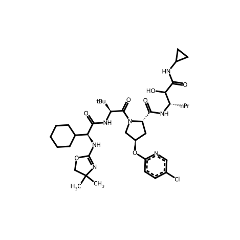 CCC[C@H](NC(=O)[C@@H]1C[C@@H](Oc2ccc(Cl)cn2)CN1C(=O)[C@@H](NC(=O)[C@@H](NC1=NC(C)(C)CO1)C1CCCCC1)C(C)(C)C)C(O)C(=O)NC1CC1